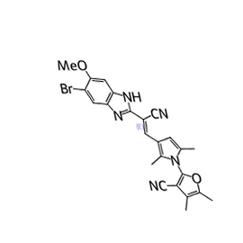 COc1cc2[nH]c(/C(C#N)=C/c3cc(C)n(-c4oc(C)c(C)c4C#N)c3C)nc2cc1Br